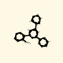 O=[N+]([O-])c1ccccc1-c1cc(-c2ccccc2)cc(-c2ccccc2)c1